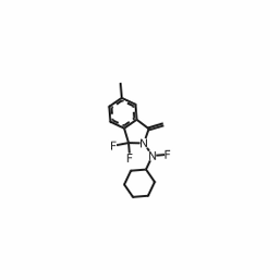 C=C1c2cc(C)ccc2C(F)(F)N1N(F)C1CCCCC1